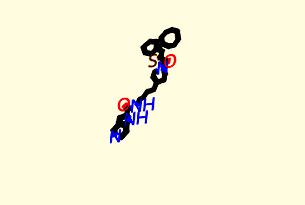 O=C(NCCCCC1CCN(C(=O)C2CC3(C4CCCCCCC4)CCCCC3S2)CC1)c1cc2cnccc2[nH]1